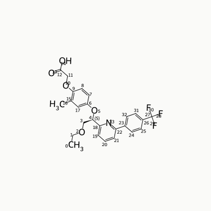 CCOC[C@@H](Oc1ccc(OCC(=O)O)c(C)c1)c1cccc(-c2ccc(C(F)(F)F)cc2)n1